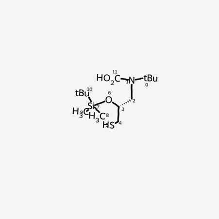 CC(C)(C)N(C[C@H](CS)O[Si](C)(C)C(C)(C)C)C(=O)O